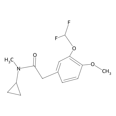 COc1ccc(CC(=O)N(C)C2CC2)cc1OC(F)F